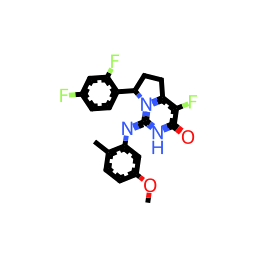 COc1ccc(C)c(/N=c2\[nH]c(=O)c(F)c3n2C(c2ccc(F)cc2F)CC3)c1